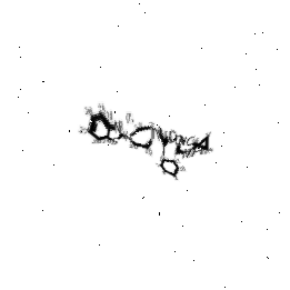 C[C@@H]1CN(C(=O)[C@@H]2CCCC[C@H]2C(=O)NC2(C#N)CC2)CCN1c1nc2ccccc2s1